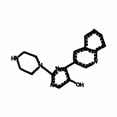 Oc1cnc(N2CCNCC2)nc1-c1cnc2ccccc2c1